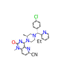 CC[C@@H]1CN(c2nc(=O)n(C)c3ccc(C#N)nc23)[C@@H](C)CN1[C@H](c1ccc(Cl)cc1)c1ccccn1